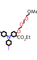 CCOC(=O)c1cc(N(c2ccc(I)cc2)c2ccc(I)cc2)ccc1OCCOCCOCCOC